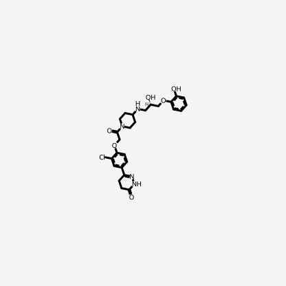 O=C1CCC(c2ccc(OCC(=O)N3CCC(NC[C@H](O)COc4ccccc4O)CC3)c(Cl)c2)=NN1